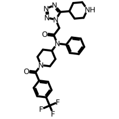 O=C(c1ccc(C(F)(F)F)cc1)N1CCC(N(C(=O)Cn2nnnc2C2CCNCC2)c2ccccc2)CC1